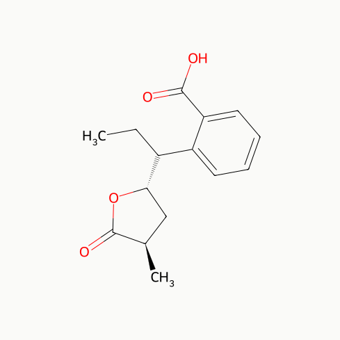 CCC(c1ccccc1C(=O)O)[C@@H]1C[C@@H](C)C(=O)O1